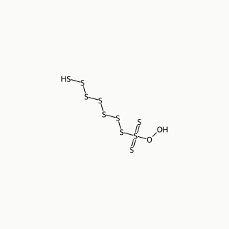 OOS(=S)(=S)SSSSSSS